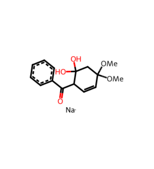 COC1(OC)C=CC(C(=O)c2ccccc2)C(O)(O)C1.[Na]